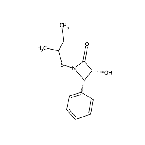 CCC(C)SN1C(=O)[C@H](O)[C@@H]1c1ccccc1